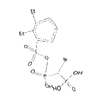 CCc1cccc(S(=O)(=O)OP(=O)(O)C(Br)P(=O)(O)O)c1CC